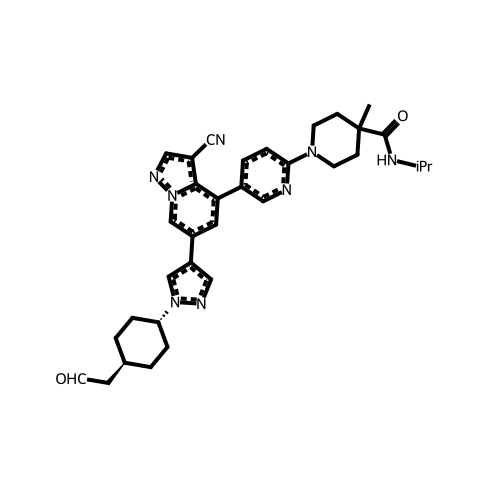 CC(C)NC(=O)C1(C)CCN(c2ccc(-c3cc(-c4cnn([C@H]5CC[C@H](CC=O)CC5)c4)cn4ncc(C#N)c34)cn2)CC1